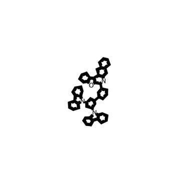 c1cc(-c2cc(-n3c4ccccc4c4ccccc43)cc(-n3c4ccccc4c4ccccc43)c2)cc(-c2nc3cc4ccccc4cc3c3c2oc2ccccc23)c1